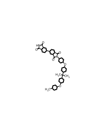 Cc1ccc(Oc2ccc(C(C)(C)c3ccc(Oc4ccc(N5C(=O)c6ccc(-c7ccc8c(c7)C(=O)NC8=O)cc6C5=O)cc4)cc3)cc2)cc1